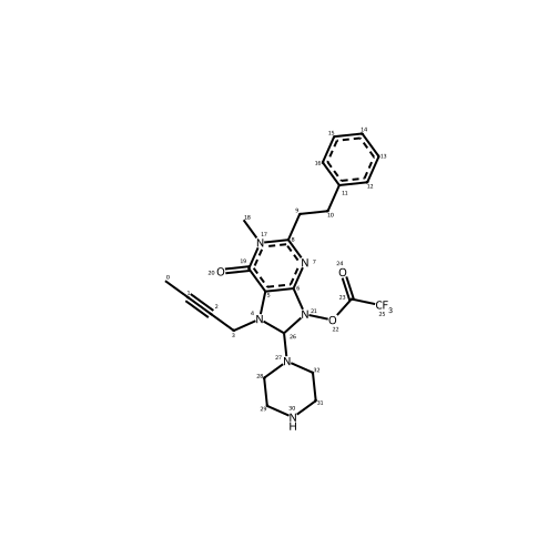 CC#CCN1c2c(nc(CCc3ccccc3)n(C)c2=O)N(OC(=O)C(F)(F)F)C1N1CCNCC1